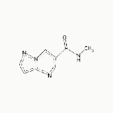 CNC(=O)c1cnc2ccnn2c1